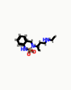 CCNCCC(C)N1Cc2ccccc2NS1(=O)=O